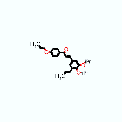 C=CCOc1ccc(C(=O)/C=C/c2cc(CC=C)c(OC(C)C)c(OC(C)C)c2)cc1